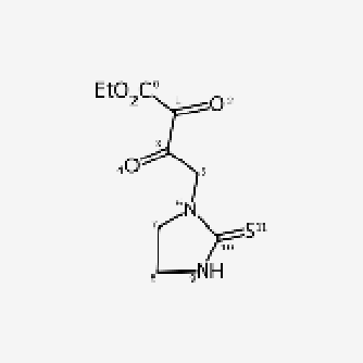 CCOC(=O)C(=O)C(=O)CN1CCNC1=S